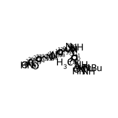 Cc1cc(-c2n[nH]c3ncc(-c4ccc(N5CCN(CCc6ccc([C@H]7CCC(=O)NC7=O)cc6)CC5)cc4)cc23)ccc1CNC(=O)C1=CN(C(C)(C)C)NN1